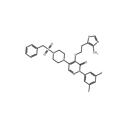 Cc1ncsc1CCOc1c(N2CCN(S(=O)(=O)Cc3ccccc3)CC2)cnn(-c2cc(F)cc(F)c2)c1=O